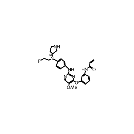 C=CC(=O)Nc1cccc(Oc2nc(Nc3ccc(N(CCF)[C@H]4CCNC4)cc3)ncc2OC)c1